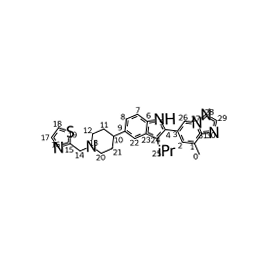 Cc1cc(-c2[nH]c3ccc(C4CCN(Cc5nccs5)CC4)cc3c2C(C)C)cn2ncnc12